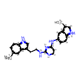 COc1ccc2[nH]cc(CCNc3nccc(Nc4ccc5[nH]cc(C(=O)O)c5c4)n3)c2c1